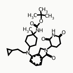 CC1(NC(=O)OC(C)(C)C)CCC(N(CCC2CC2)c2cccc3c2CN(C2CCC(=O)NC2=O)C3=O)CC1